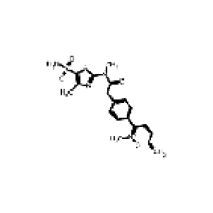 C=C/C=C\C(c1ccc(CC(=O)N(C)c2nc(C)c(S(N)(=O)=O)s2)cc1)=[N+](\C)[O-]